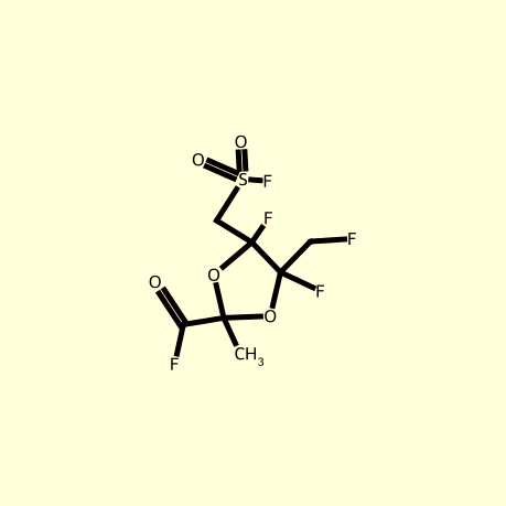 CC1(C(=O)F)OC(F)(CF)C(F)(CS(=O)(=O)F)O1